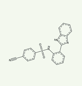 N#Cc1ccc(S(=O)(=O)Nc2ccccc2-c2nc3ccccc3[nH]2)cc1